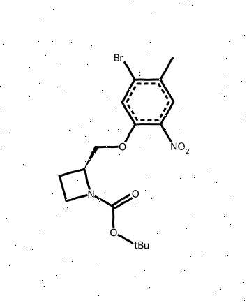 Cc1cc([N+](=O)[O-])c(OC[C@@H]2CCN2C(=O)OC(C)(C)C)cc1Br